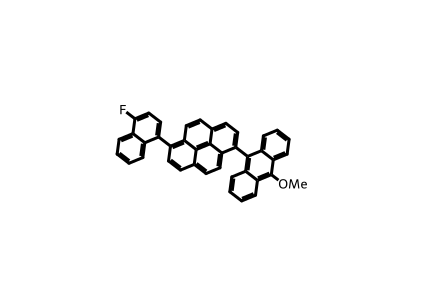 COc1c2ccccc2c(-c2ccc3ccc4c(-c5ccc(F)c6ccccc56)ccc5ccc2c3c54)c2ccccc12